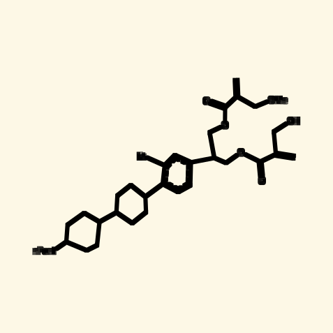 C=C(CO)C(=O)OCC(COC(=O)C(=C)COC)c1ccc(C2CCC(C3CCC(CCCCC)CC3)CC2)c(CC)c1